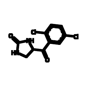 O=C1NCC(C(=O)c2cc(Cl)ccc2Cl)N1